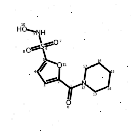 O=C(c1ccc(S(=O)(=O)NO)o1)N1CCCCC1